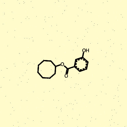 O=C(OC1CCCCCCC1)c1cccc(O)c1